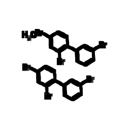 Brc1cccc(-c2ccc(Br)cc2Br)c1.Brc1cccc(-c2ccc(Br)cc2Br)c1.O